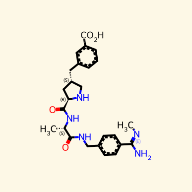 C/N=C(/N)c1ccc(CNC(=O)[C@H](C)NC(=O)[C@H]2C[C@H](Cc3cccc(C(=O)O)c3)CN2)cc1